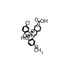 COc1ccc(O)c(N(CC2CCN(C(=O)O)CC2)S(=O)(=O)c2cc(Cl)ccc2Cl)c1